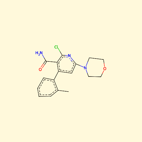 Cc1ccccc1-c1cc(N2CCOCC2)nc(Cl)c1C(N)=O